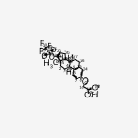 C[C@]12CC[C@@H]3c4ccc(OCC(=O)O)cc4CC[C@H]3[C@@H]1CC=C2OS(=O)(=O)C(F)(F)F